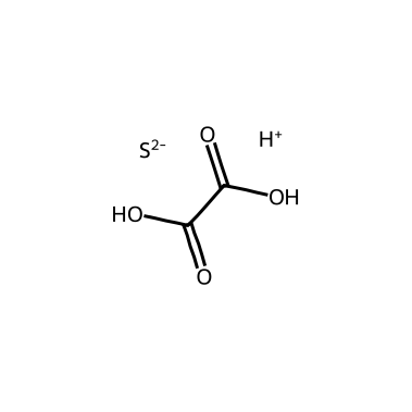 O=C(O)C(=O)O.[H+].[S-2]